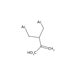 C=C(C(=O)O)C(CC(C)=O)CC(C)=O